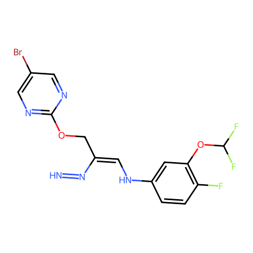 N=N/C(=C\Nc1ccc(F)c(OC(F)F)c1)COc1ncc(Br)cn1